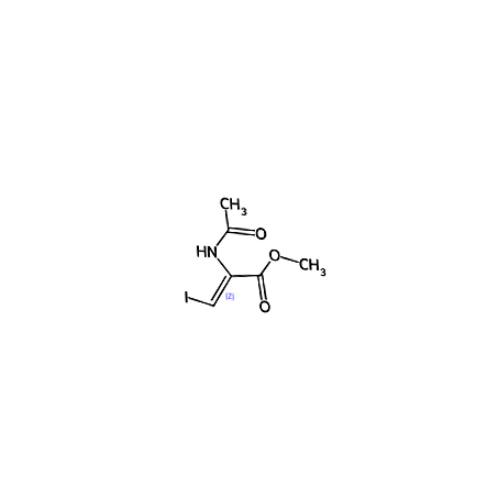 COC(=O)/C(=C/I)NC(C)=O